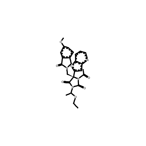 CCOC(C)N1C(=O)N(C(C)=O)[C@@](CN2Cc3ccc(OC)cc3C2=O)(c2cc3ncccc3o2)C1=O